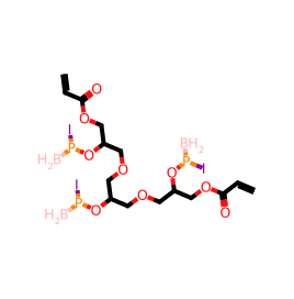 BP(I)OC(COCC(COC(=O)C=C)OP(B)I)COCC(COC(=O)C=C)OP(B)I